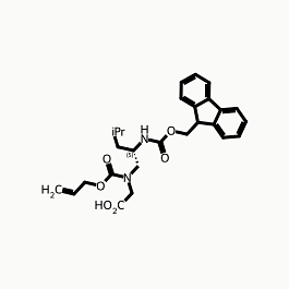 C=CCOC(=O)N(CC(=O)O)C[C@H](CC(C)C)NC(=O)OCC1c2ccccc2-c2ccccc21